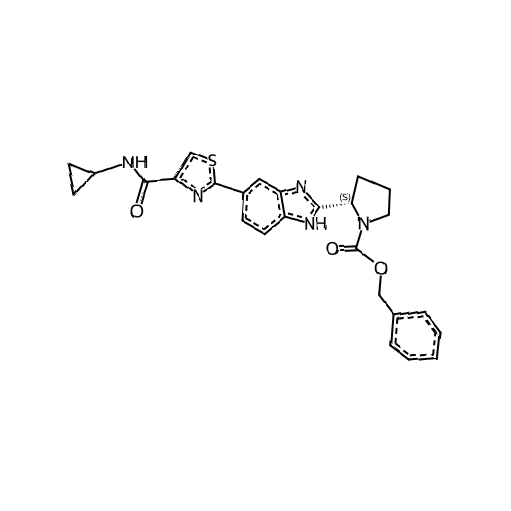 O=C(NC1CC1)c1csc(-c2ccc3[nH]c([C@@H]4CCCN4C(=O)OCc4ccccc4)nc3c2)n1